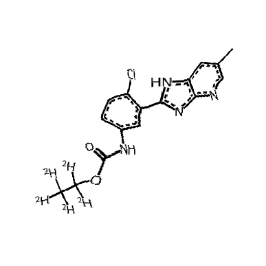 [2H]C([2H])([2H])C([2H])([2H])OC(=O)Nc1ccc(Cl)c(-c2nc3ncc(C)cc3[nH]2)c1